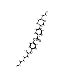 CCCCCCC(=O)Oc1ccc(OC(=O)c2ccc(C3CCC(CCC)CC3)cc2)cc1